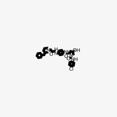 O=C(CNc1ccc(NC(=O)[C@H]2C[C@@H](O)CN2C(=O)Nc2ccc(Cl)cc2)cc1)CN1CCCC(CC2CCCCC2)C1